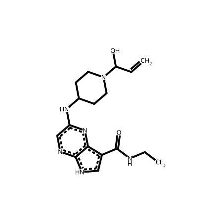 C=CC(O)N1CCC(Nc2cnc3[nH]cc(C(=O)NCC(F)(F)F)c3n2)CC1